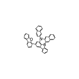 c1ccc2c(c1)B1c3cc4ccccc4cc3N(c3ccc4ccccc4c3)c3cc(-c4cccc5c4oc4ccccc45)cc-2c31